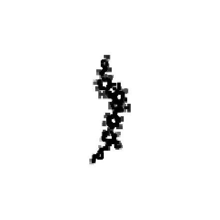 CCOCCN1CCN(c2ccc(-c3nc4c(NC5CCN(CCOC)CC5)c(Cl)cnc4[nH]3)cc2)CC1=O